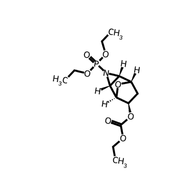 CCOC(=O)O[C@@H]1C[C@@H]2O[C@@H]1[C@H]1[C@@H]2N1P(=O)(OCC)OCC